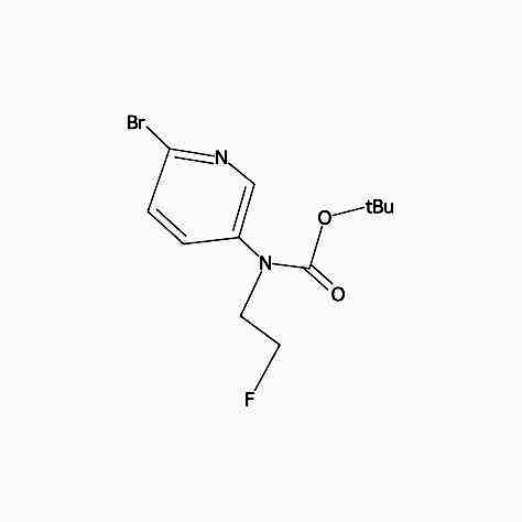 CC(C)(C)OC(=O)N(CCF)c1ccc(Br)nc1